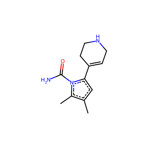 Cc1cc(C2=CCNCC2)n(C(N)=O)c1C